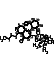 C=CCCc1ncc(Cl)c2c1c(=O)cc(CO[Si](C)(C)C(C)(C)C)n2-c1c(Cl)cccc1Cl